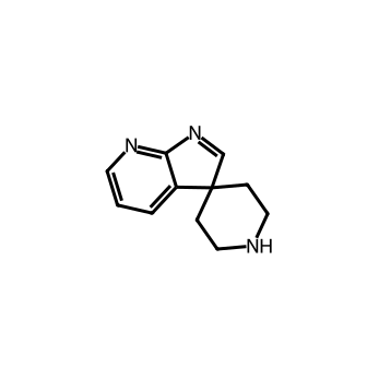 C1=Nc2ncccc2C12CCNCC2